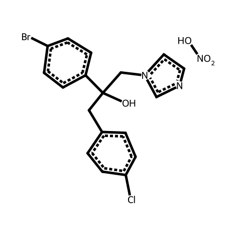 O=[N+]([O-])O.OC(Cc1ccc(Cl)cc1)(Cn1ccnc1)c1ccc(Br)cc1